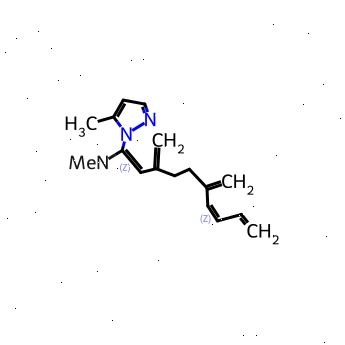 C=C/C=C\C(=C)CCC(=C)/C=C(/NC)n1nccc1C